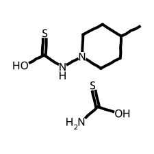 CC1CCN(NC(O)=S)CC1.NC(O)=S